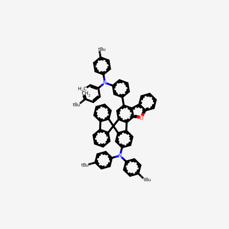 C=C(/C=C\C(=C/C)N(c1ccc(C(C)(C)C)cc1)c1cccc(-c2cc3c(c4oc5ccccc5c24)-c2ccc(N(c4ccc(C(C)(C)C)cc4)c4ccc(C(C)(C)C)cc4)cc2C32c3ccccc3-c3ccccc32)c1)C(C)(C)C